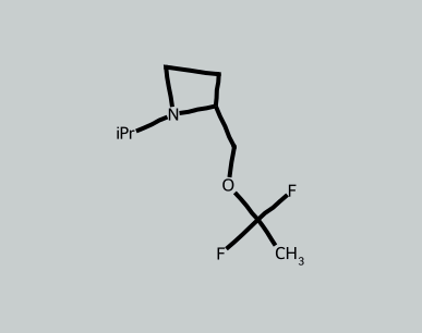 CC(C)N1CCC1COC(C)(F)F